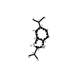 CC(C)c1ccc2nc(C(C)C)sc2c1